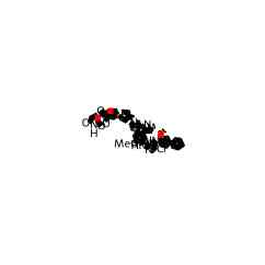 COc1cc(N2CCN(CC3CCN(c4ccc5c(c4)C(=O)N(C4CCC(=O)NC4=O)C5=O)CC3)CC2)c(-c2cnn(C)c2)cc1Nc1ncc(Cl)c(Nc2ccc(-c3ccccc3)cc2P(C)C)n1